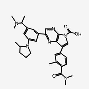 Cc1cc(-c2cn(C(=O)O)c3ncc(-c4cc(C(C)N(C)C)cc(N5CCCC5C)c4)nc23)ccc1C(=O)N(C)C